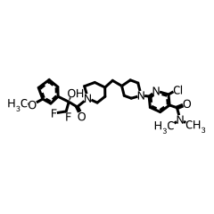 COc1cccc([C@@](O)(C(=O)N2CCC(CC3CCN(c4ccc(C(=O)N(C)C)c(Cl)n4)CC3)CC2)C(F)F)c1